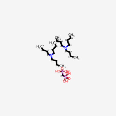 CCCCN(CCCC)CCCC.CCCCN(CCCC)CCCC.O=P(O)(O)CP(=O)(O)O